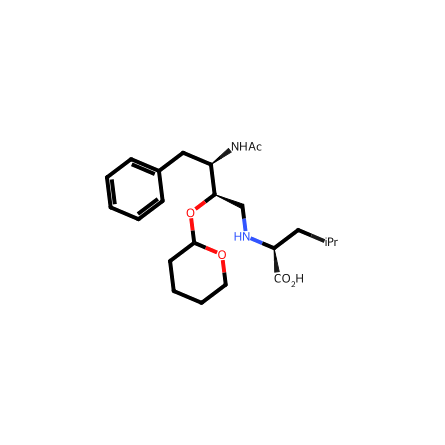 CC(=O)N[C@H](Cc1ccccc1)[C@@H](CN[C@@H](CC(C)C)C(=O)O)OC1CCCCO1